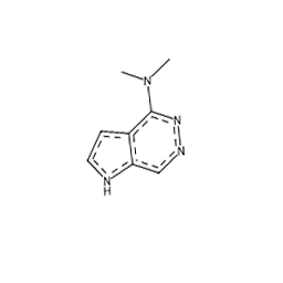 CN(C)c1nncc2[nH]ccc12